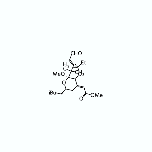 CCC(=O)O[C@H]1/C(=C/C(=O)OC)C[C@@H](CC(C)CC)O[C@@]1(OC)C(C)(C)/C=C/C=O